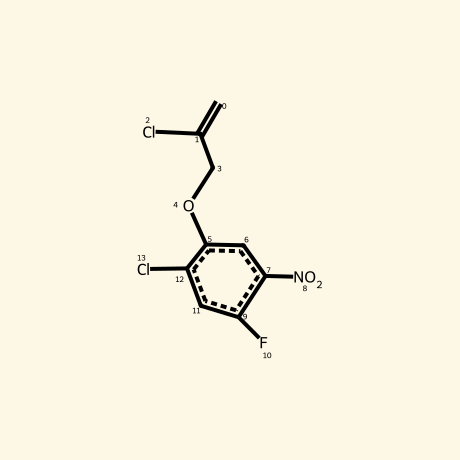 C=C(Cl)COc1cc([N+](=O)[O-])c(F)cc1Cl